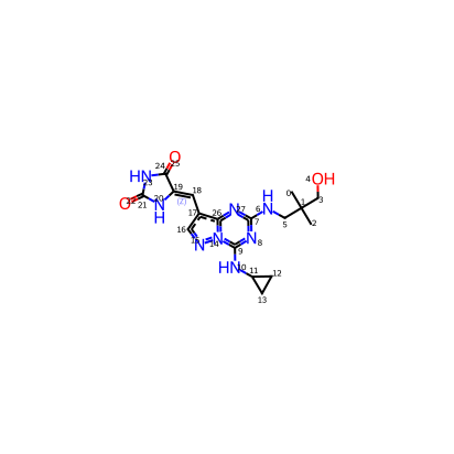 CC(C)(CO)CNc1nc(NC2CC2)n2ncc(/C=C3\NC(=O)NC3=O)c2n1